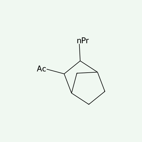 CCCC1C2CCC(C2)C1C(C)=O